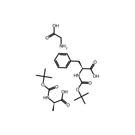 CC(C)(C)OC(=O)N[C@@H](Cc1ccccc1)C(=O)O.C[C@@H](NC(=O)OC(C)(C)C)C(=O)O.NCC(=O)O